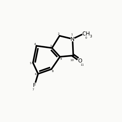 CN1Cc2ccc(F)cc2C1=O